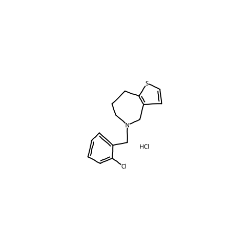 Cl.Clc1ccccc1CN1CCCc2sccc2C1